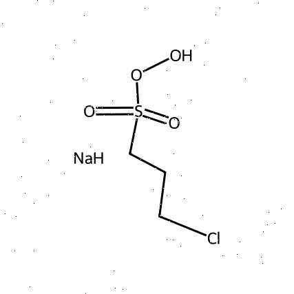 O=S(=O)(CCCCl)OO.[NaH]